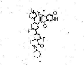 C[C@@H]1CN(c2cc(F)c(-c3cc(F)c(C(=O)N(C)C4CCCCC4)c(F)c3)cc2NC(=O)c2c[nH]c(=O)cc2C(F)(F)F)C[C@H](C)N1C